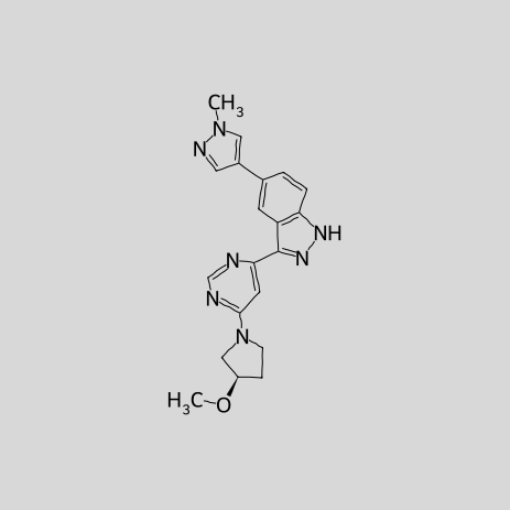 CO[C@@H]1CCN(c2cc(-c3n[nH]c4ccc(-c5cnn(C)c5)cc34)ncn2)C1